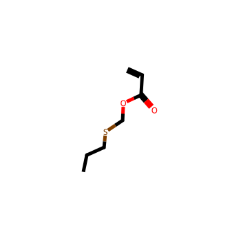 C=CC(=O)OCSCCC